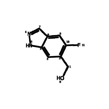 OCc1cc2[nH]ncc2cc1F